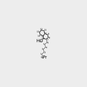 CC(C)CCCCCCc1ccc2ccccc2c1O